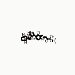 CN(C)C(=O)Cn1cc2c(Cl)c(-c3c[nH]c4nc(N5[C@@H]6CC[C@H]5C[C@@H](N)C6)cnc34)ccc2n1